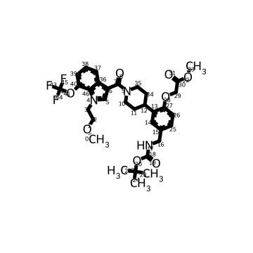 COCCn1cc(C(=O)N2CCC(c3cc(CNC(=O)OC(C)(C)C)ccc3OCC(=O)OC)CC2)c2cccc(OC(F)(F)F)c21